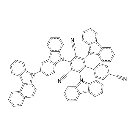 N#Cc1ccc(-c2c(-n3c4ccccc4c4ccccc43)c(C#N)c(-n3c4ccccc4c4cc(-n5c6ccccc6c6c7ccccc7ccc65)ccc43)c(C#N)c2-n2c3ccccc3c3ccccc32)cc1